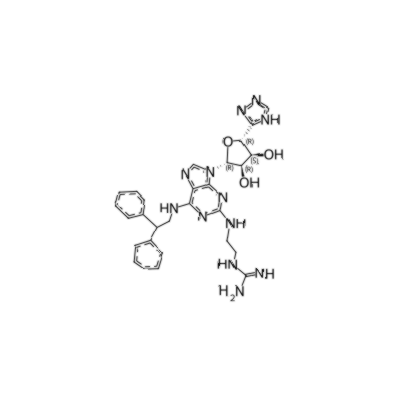 N=C(N)NCCNc1nc(NCC(c2ccccc2)c2ccccc2)c2ncn([C@@H]3O[C@H](c4nnc[nH]4)[C@@H](O)[C@H]3O)c2n1